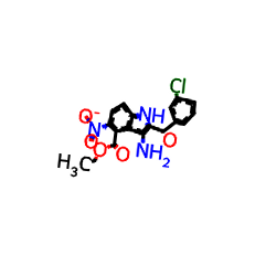 CCOC(=O)c1c([N+](=O)[O-])ccc2[nH]c(C(=O)c3cccc(Cl)c3)c(N)c12